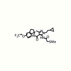 CSCC(=O)Nc1c2c(nn1CCC1CC1)C[C@]1(CCc3cc(OCC(F)(F)F)ccc31)NC2=O